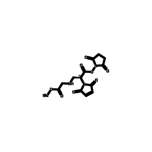 CC(C)(C)OC(=O)CNC[C@@H](C(=O)ON1C(=O)CCC1=O)N1C(=O)C=CC1=O